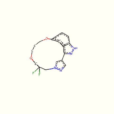 FC1(F)COCCCOc2ccc3[nH]nc(c3c2)-c2cnn(c2)C1